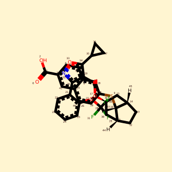 O=C(O)c1ccc2cc(S[C@H]3[C@@H]4CC[C@H]3C[C@H](OCc3c(-c5ccccc5OC(F)(F)F)noc3C3CC3)C4)ccc2c1